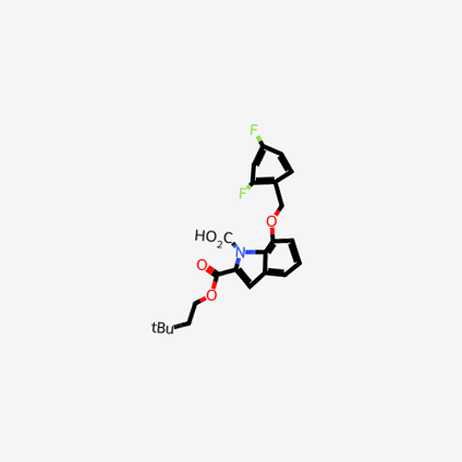 CC(C)(C)CCOC(=O)c1cc2cccc(OCc3ccc(F)cc3F)c2n1C(=O)O